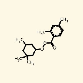 Cc1ccc(C(=O)OO[C]2CC(C)CC(C)(C)C2)c(C)c1